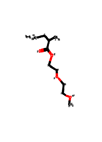 CCC(C)C(=O)OCCOCCOC